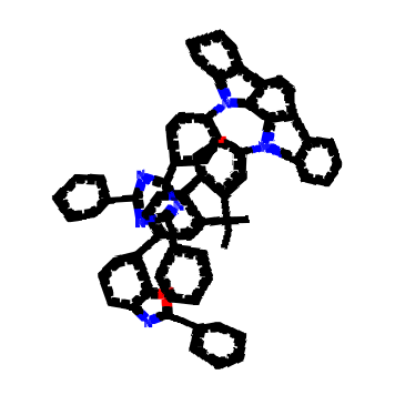 CC1(C)c2cc(-c3cccc4nc(-c5ccccc5)oc34)ccc2-c2ccc(-n3c4ccccc4c4ccc5c6ccccc6n(-c6ccc(-c7nc(-c8ccccc8)nc(-c8ccccc8)n7)cc6)c5c43)cc21